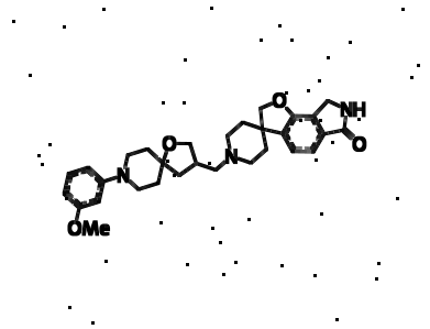 COc1cccc(N2CCC3(CC2)CC(CN2CCC4(CC2)COc2c4ccc4c2CNC4=O)CO3)c1